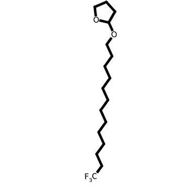 FC(F)(F)CCCCCCCCCCCCOC1CCCO1